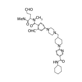 CNC(=O)C(CCC=O)N(C)C(=O)c1ccc(N2CCN(CC3CCN(c4ccc(C(=O)NC5CCCCC5)cn4)CC3)CC2)cc1C=O